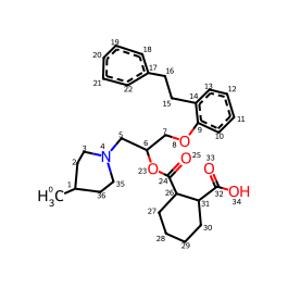 CC1CCN(CC(COc2ccccc2CCc2ccccc2)OC(=O)C2CCCCC2C(=O)O)CC1